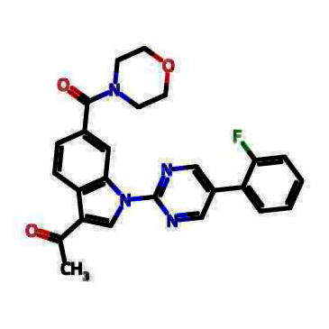 CC(=O)c1cn(-c2ncc(-c3ccccc3F)cn2)c2cc(C(=O)N3CCOCC3)ccc12